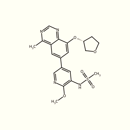 COc1ncc(-c2cc(O[C@@H]3CCOC3)c3ncnc(C)c3c2)cc1NS(C)(=O)=O